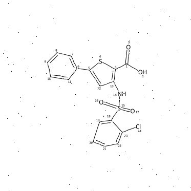 O=C(O)c1sc(-c2ccccc2)cc1NS(=O)(=O)c1ccccc1Cl